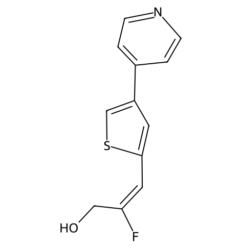 OC/C(F)=C\c1cc(-c2ccncc2)cs1